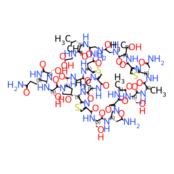 CC(C)C[C@H](NC(=O)CNC(=O)CNC(=O)[C@H](NC(=O)c1csc([C@H](CC(N)=O)NC(=O)[C@H](C)NC(=O)[C@H](CO)NC(=O)[C@H](C)NC(=O)c2coc([C@H](CC(N)=O)NC(=O)[C@H](CO)NC(=O)c3csc([C@H](CO)NC(=O)[C@H](C)NC(=O)c4csc([C@H](CC(N)=O)NC(=O)CNC(=O)[C@@H]5CCCN5C(=O)[C@H](CO)NC5=N[C@@H](CO)C(=O)N[C@H]5CCC(N)=O)n4)n3)n2)n1)[C@@H](C)O)C(=O)NCC(=O)O